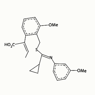 CC=C(C(=O)O)c1cccc(OC)c1CSC(=Nc1cccc(OC)c1)C1CC1